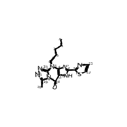 CCCCCn1c2nc(-c3nccs3)[nH]c2c(=O)n2c(C)nnc12